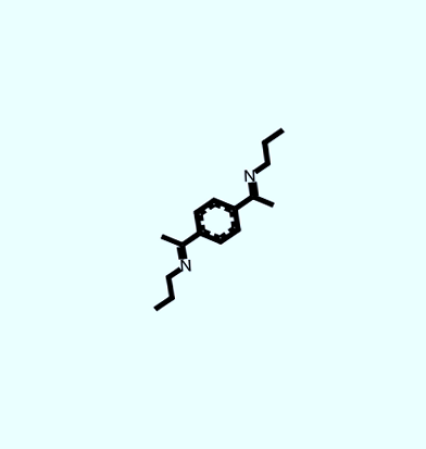 CCCN=C(C)c1ccc(C(C)=NCCC)cc1